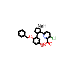 O=C(O)c1nc(C2=C(c3cc(Br)ccc3OCc3ccccc3)CCC2)ccc1Cl.[NaH]